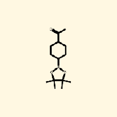 CC(=O)C1CCC(B2OC(C)(C)C(C)(C)O2)CC1